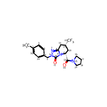 Cc1ccc(Cn2nc3n(c2=O)[C@@H](C(=O)N2CCCC2)C[C@@H](C(F)(F)F)C3)cc1